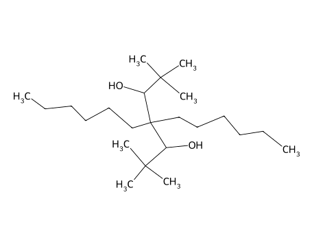 CCCCCCC(CCCCCC)(C(O)C(C)(C)C)C(O)C(C)(C)C